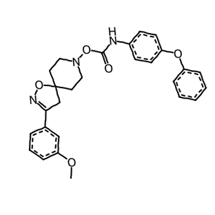 COc1cccc(C2=NOC3(CCN(OC(=O)Nc4ccc(Oc5ccccc5)cc4)CC3)C2)c1